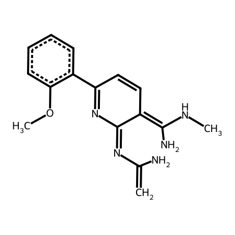 C=C(N)/N=C1/N=C(c2ccccc2OC)C=C/C1=C(/N)NC